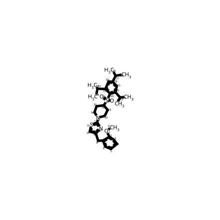 COc1ccccc1Cc1csc(N2CCC(S(=O)(=O)c3c(C(C)C)cc(C(C)C)cc3C(C)C)CC2)n1